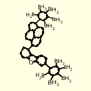 Bc1c(B)c(B)c(-c2ccc3c(c2)oc2cccc(-c4ccc5ccc6c(-c7c(B)c(B)c(B)c(B)c7B)ccc7ccc4c5c76)c23)c(B)c1B